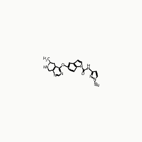 C[C@H]1Cc2c(ncnc2Oc2ccc3c(ccn3C(=O)Nc3ccn(C(C)(C)C)n3)c2)CN1